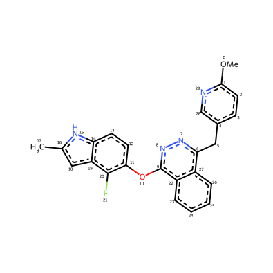 COc1ccc(Cc2nnc(Oc3ccc4[nH]c(C)cc4c3F)c3ccccc23)cn1